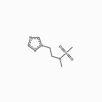 CN(CCn1cncn1)S(C)(=O)=O